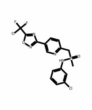 CP(=O)(Cc1ccc(-c2noc(C(F)(F)Cl)n2)cn1)Nc1cccc(Cl)c1